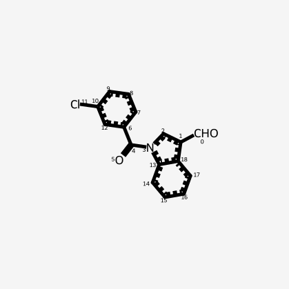 O=Cc1cn(C(=O)c2cccc(Cl)c2)c2ccccc12